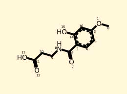 COc1ccc(C(=O)NCCC(=O)O)c(O)c1